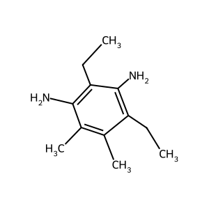 CCc1c(C)c(C)c(N)c(CC)c1N